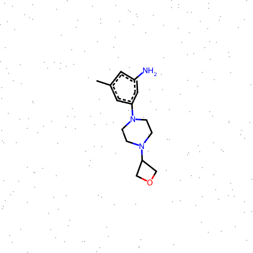 Cc1cc(N)cc(N2CCN(C3COC3)CC2)c1